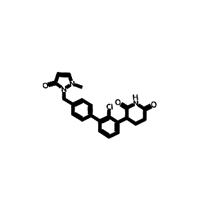 Cn1ccc(=O)n1Cc1ccc(-c2cccc(C3CCC(=O)NC3=O)c2Cl)cc1